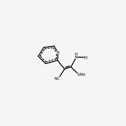 CCNC(SC)=C(C#N)c1ccccn1